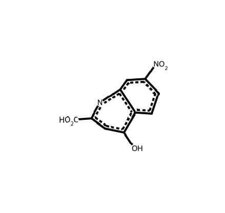 O=C(O)c1cc(O)c2ccc([N+](=O)[O-])cc2n1